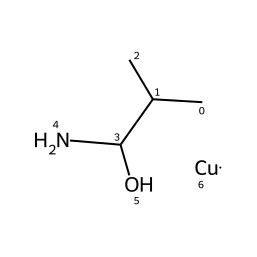 CC(C)C(N)O.[Cu]